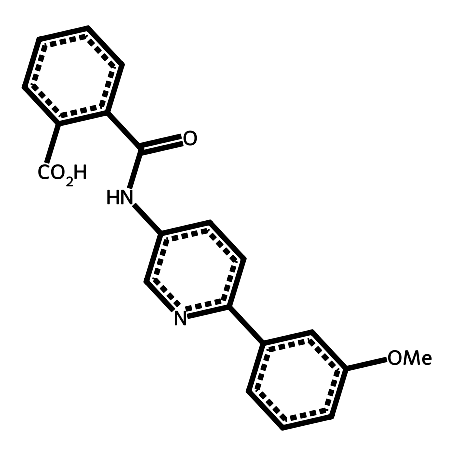 COc1cccc(-c2ccc(NC(=O)c3ccccc3C(=O)O)cn2)c1